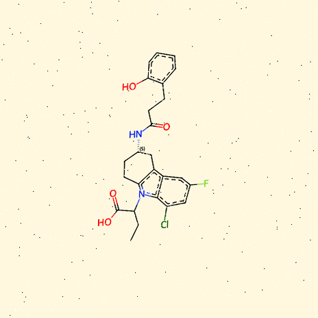 CCC(C(=O)O)n1c2c(c3cc(F)cc(Cl)c31)C[C@@H](NC(=O)CCc1ccccc1O)CC2